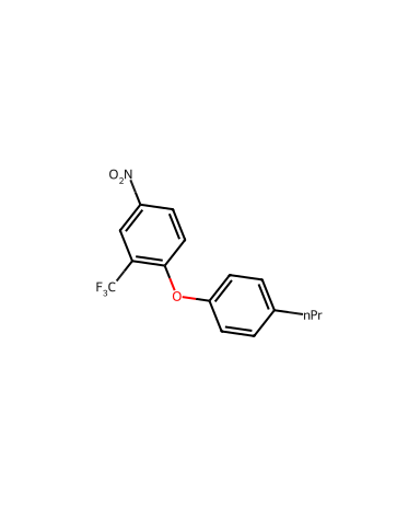 CCCc1ccc(Oc2ccc([N+](=O)[O-])cc2C(F)(F)F)cc1